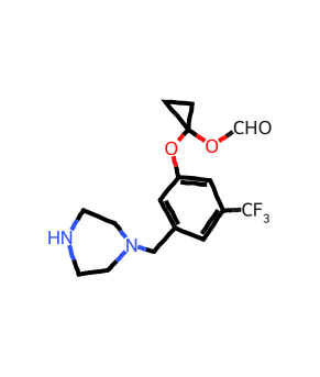 O=COC1(Oc2cc(CN3CCNCC3)cc(C(F)(F)F)c2)CC1